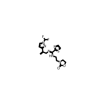 C=C(C/N=C(\NCCN1CCOC1=O)c1nccs1)c1ccn(C(F)F)n1